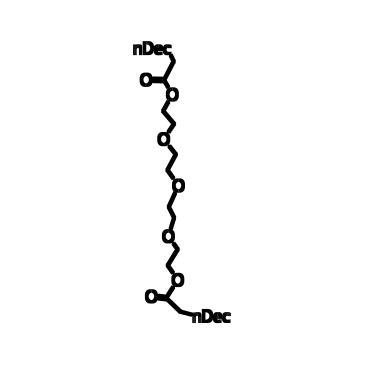 CCCCCCCCCCCC(=O)OCCOCCOCCOCCOC(=O)CCCCCCCCCCC